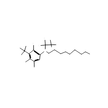 CCCCCCCCCP(c1cc(F)c(F)c(C(F)(F)F)c1F)C(F)(F)C(F)(F)F